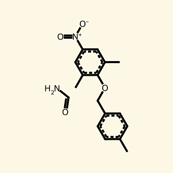 Cc1ccc(COc2c(C)cc([N+](=O)[O-])cc2C)cc1.NC=O